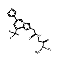 CN(C)C(=O)CNC(=O)Cc1cn2cc(-c3ccoc3)cc(C(F)(F)F)c2n1